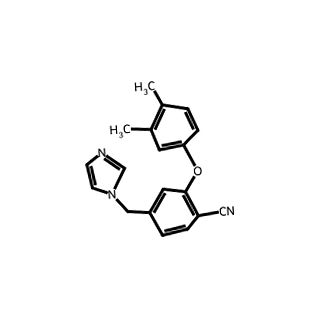 Cc1ccc(Oc2cc(Cn3ccnc3)ccc2C#N)cc1C